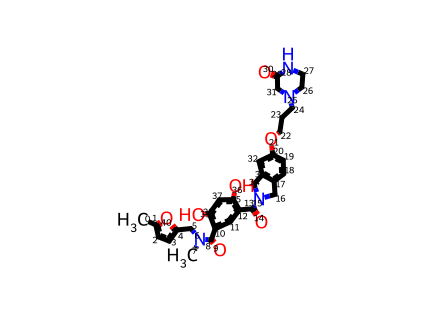 Cc1ccc(CN(C)C(=O)c2cc(C(=O)N3Cc4ccc(OCCCN5CCNC(=O)C5)cc4C3)c(O)cc2O)o1